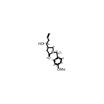 C=CC[C@@H](O)C1CC(=O)N([C@H](C)c2ccc(OC)cc2)C1